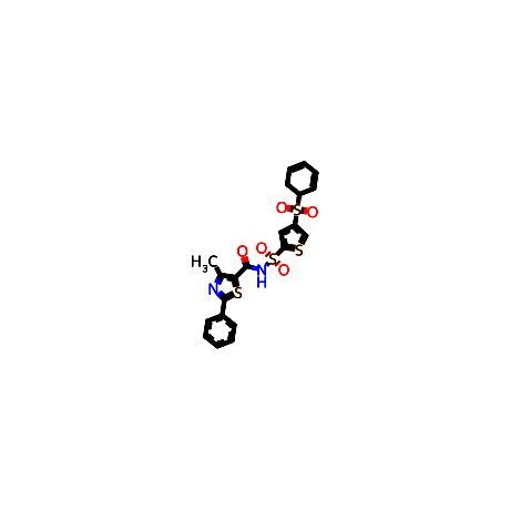 Cc1nc(-c2ccccc2)sc1C(=O)NS(=O)(=O)c1cc(S(=O)(=O)C2C=CC=CC2)cs1